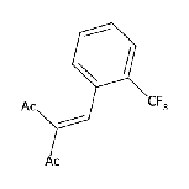 CC(=O)C(=Cc1ccccc1C(F)(F)F)C(C)=O